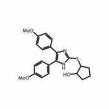 COc1ccc(-c2nc(SC3CCCC3O)[nH]c2-c2ccc(OC)cc2)cc1